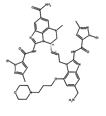 CCn1nc(C)cc1C(=O)Nc1nc2cc(CN)cc(OCCCN3CCOCC3)c2n1C/C=C/[C@H]1CN(C)c2cc(C(N)=O)cc3nc(NC(=O)c4cc(C)nn4CC)n1c23